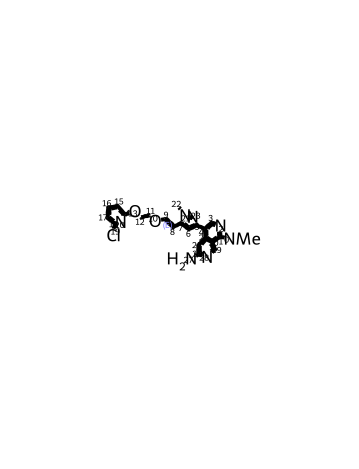 CNc1ncc(-c2cc(/C=C/OCCOc3cccc(Cl)n3)n(C)n2)c2cc(N)ncc12